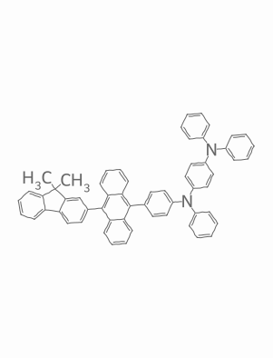 CC1(C)c2ccccc2-c2ccc(-c3c4ccccc4c(-c4ccc(N(c5ccccc5)c5ccc(N(c6ccccc6)c6ccccc6)cc5)cc4)c4ccccc34)cc21